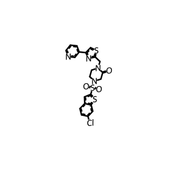 O=C1CN(S(=O)(=O)c2cc3ccc(Cl)cc3s2)CCN1Cc1nc(-c2cccnc2)cs1